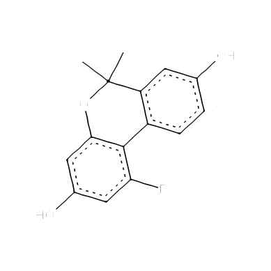 CC1(C)Oc2cc(O)cc(F)c2-c2ccc(O)cc21